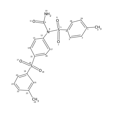 Cc1ccc(S(=O)(=O)N(C(N)=O)c2ccc(S(=O)(=O)c3cccc(C)c3)cc2)cc1